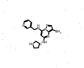 Bc1cnn2c(NCc3cccnc3)cc(N[C@@H]3CCNC3)nc12